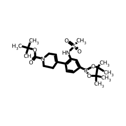 CC(C)(C)OC(=O)N1CC=C(c2ccc(B3OC(C)(C)C(C)(C)O3)cc2NS(C)(=O)=O)CC1